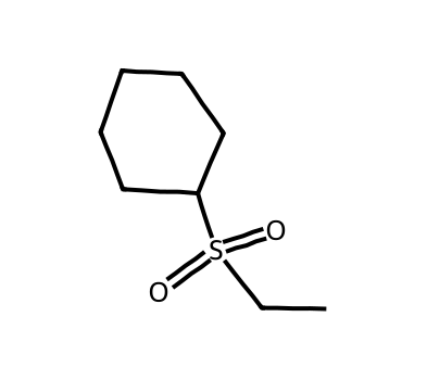 CCS(=O)(=O)C1CCCCC1